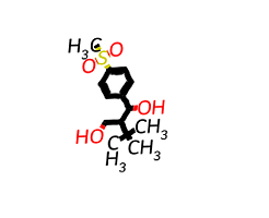 CC(C)(C)C(CO)C(O)c1ccc(S(C)(=O)=O)cc1